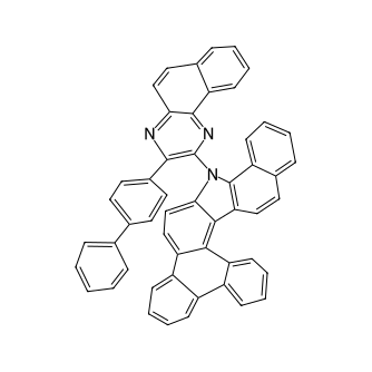 c1ccc(-c2ccc(-c3nc4ccc5ccccc5c4nc3-n3c4ccc5c6ccccc6c6ccccc6c5c4c4ccc5ccccc5c43)cc2)cc1